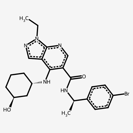 CCn1ncc2c(N[C@H]3CCC[C@H](O)C3)c(C(=O)N[C@H](C)c3ccc(Br)cc3)cnc21